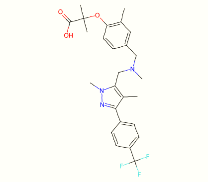 Cc1cc(CN(C)Cc2c(C)c(-c3ccc(C(F)(F)F)cc3)nn2C)ccc1OC(C)(C)C(=O)O